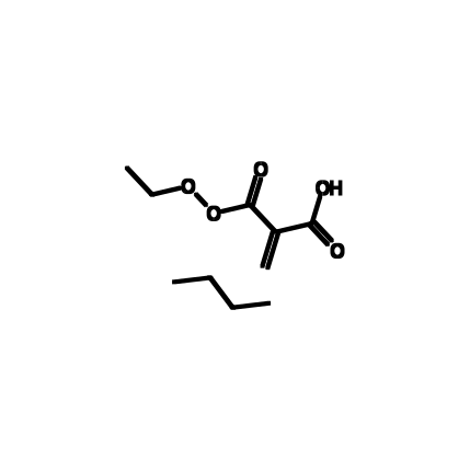 C=C(C(=O)O)C(=O)OOCC.CCCC